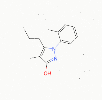 CCCc1c(C)c(O)nn1-c1ccccc1C